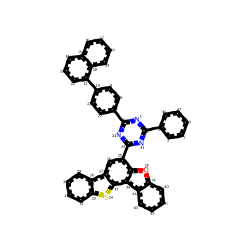 c1ccc(-c2nc(-c3ccc(-c4cccc5ccccc45)cc3)nc(-c3cc4c5ccccc5sc4c4c3oc3ccccc34)n2)cc1